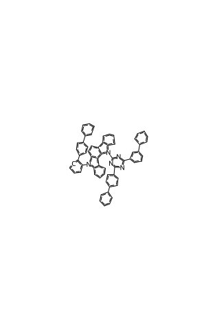 c1ccc(-c2ccc(-c3nc(-c4cccc(-c5ccccc5)c4)nc(-n4c5ccccc5c5ccc6c(c7ccccc7n6-c6ccccc6-c6ccc(-c7ccccc7)cc6)c54)n3)cc2)cc1